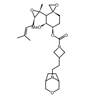 CO[C@H]1C([C@@]2(C)O[C@@H]2CC=C(C)C)[C@]2(CC[C@H]1OC(=O)N1CC(CCN3C4CCC3COC4)C1)CO2